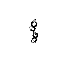 CN1CCC2(CC1)CC(N1CCC3(CCOC3)C1)CO2